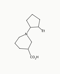 CCC1CCCC1N1CCCC(C(=O)O)C1